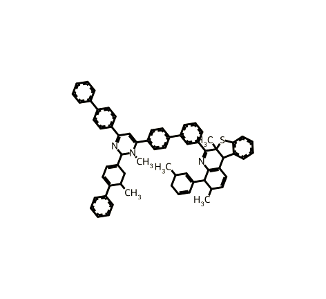 CC1C=C(C2C3=C(C=CC2C)C2c4ccccc4SC2(C)C(c2cccc(-c4ccc(C5=CC(c6ccc(-c7ccccc7)cc6)=NC(C6=CC=C(c7ccccc7)C(C)C6)N5C)cc4)c2)=N3)C=CC1